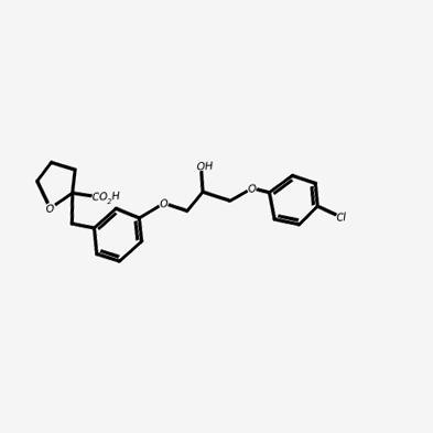 O=C(O)C1(Cc2cccc(OCC(O)COc3ccc(Cl)cc3)c2)CCCO1